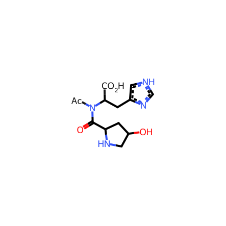 CC(=O)N(C(=O)C1CC(O)CN1)C(Cc1c[nH]cn1)C(=O)O